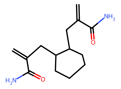 C=C(CC1CCCCC1CC(=C)C(N)=O)C(N)=O